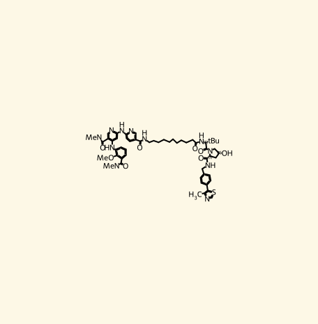 CNC(=O)c1cnc(Nc2ccc(C(=O)NCCCCCCCCCCC(=O)N[C@H](C(=O)N3C[C@H](O)C[C@H]3C(=O)NCc3ccc(-c4scnc4C)cc3)C(C)(C)C)cn2)cc1Nc1cccc(C(=O)NC)c1OC